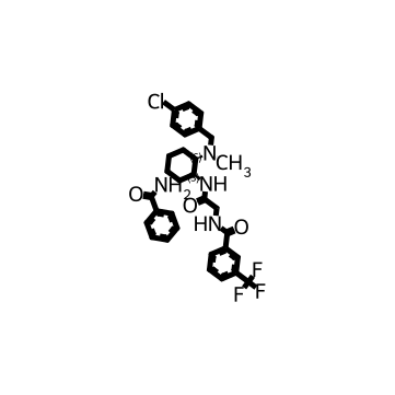 CN(Cc1ccc(Cl)cc1)[C@H]1CCCC[C@@H]1NC(=O)CNC(=O)c1cccc(C(F)(F)F)c1.NC(=O)c1ccccc1